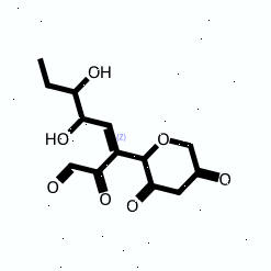 CCC(O)C(O)/C=C(\C(=O)C=O)C1OCC(=O)CC1=O